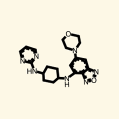 c1cnc(NC2CCC(Nc3cc(N4CCOCC4)cc4nonc34)CC2)nc1